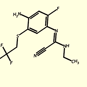 CCN/C(C#N)=N/c1cc(SCC(F)(F)F)c(N)cc1F